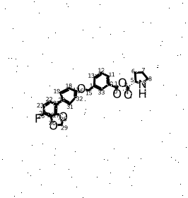 O=C(OC(=O)[C@@H]1CCCN1)c1cccc(COc2ccc(-c3ccc(F)c4c3OCO4)cc2)c1